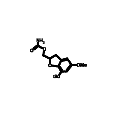 COc1cc2c(c(C(C)(C)C)c1)OC(COC(N)=O)C2